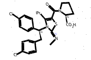 C/N=c1/sc(C(=O)N2CCC[C@H]2C(=O)O)c(C(C)C)n1[C@@H](Cc1ccc(Cl)cc1)c1ccc(Cl)cc1